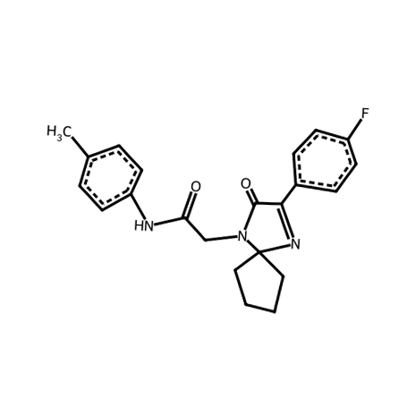 Cc1ccc(NC(=O)CN2C(=O)C(c3ccc(F)cc3)=NC23CCCC3)cc1